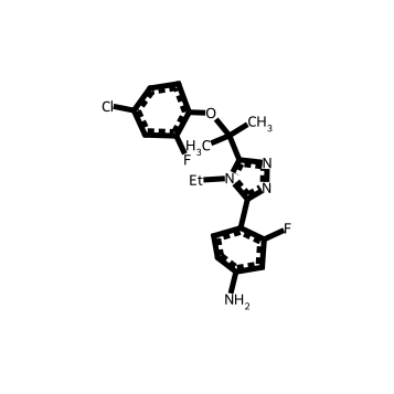 CCn1c(-c2ccc(N)cc2F)nnc1C(C)(C)Oc1ccc(Cl)cc1F